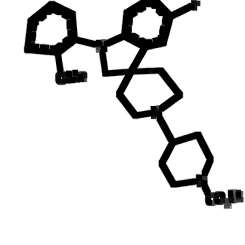 CCOC(=O)N1CCC(N2CCC3(CC2)CN(c2ccccc2OC)c2ccc(F)cc23)CC1